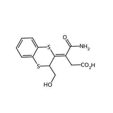 NC(=O)/C(CC(=O)O)=C1\Sc2ccccc2SC1CO